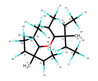 CC(C(OC(C(F)C(F)(F)F)C(C)(C(F)C(F)(F)F)C(F)C(F)(F)F)C(F)C(F)(F)F)(C(F)C(F)(F)F)C(F)C(F)(F)F